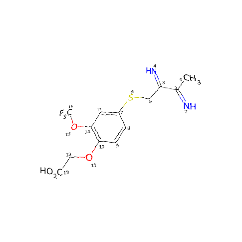 CC(=N)C(=N)CSc1ccc(OCC(=O)O)c(OC(F)(F)F)c1